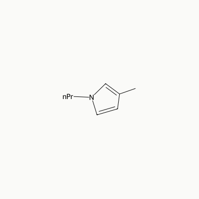 CCCn1ccc(C)c1